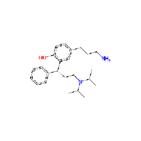 CC(C)N(CC[C@H](c1ccccc1)c1cc(CCCN)ccc1O)C(C)C